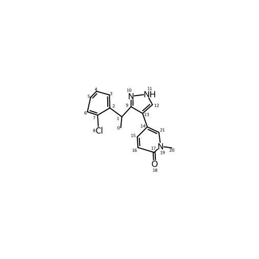 CC(c1ccccc1Cl)c1n[nH]cc1-c1ccc(=O)n(C)c1